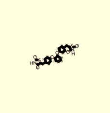 O=C1NC(=O)C(Cc2ccc(Oc3ccccc3Oc3ccc(CC4SC(=O)NC4=O)cc3)cc2)S1